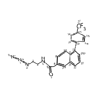 [N-]=[N+]=NCCNC(=O)c1ccc2c(-c3ccc(C(F)(F)F)cc3)cccc2c1